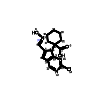 O=C(O)C1(n2c(/C=N/O)cc3cnc(Cl)nc32)CCCCC1